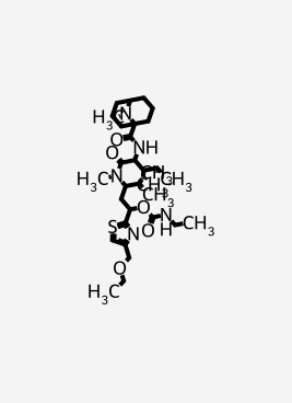 CCNC(=O)OC(CC(C(C)C)N(C)C(=O)C(NC(=O)C12CCCC(CCC1)N2C)C(C)CC)c1nc(COCC)cs1